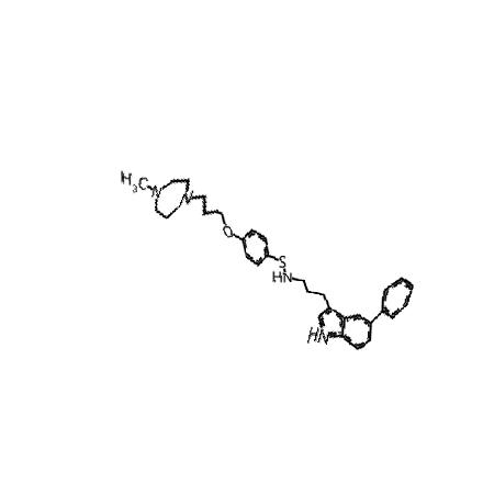 CN1CCN(CCCOc2ccc(SNCCCc3c[nH]c4ccc(-c5ccccc5)cc34)cc2)CC1